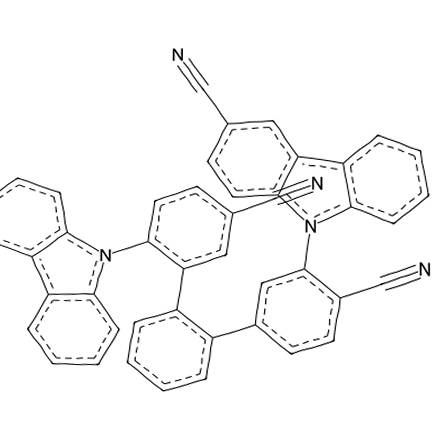 N#Cc1ccc(-n2c3ccccc3c3ccccc32)c(-c2ccccc2-c2ccc(C#N)c(-n3c4ccccc4c4cc(C#N)ccc43)c2)c1